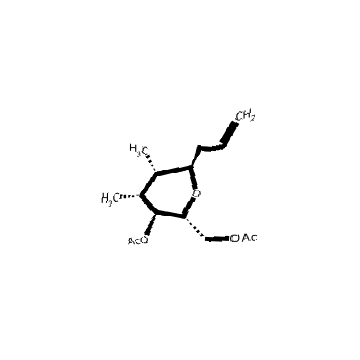 C=CC[C@H]1O[C@H](COC(C)=O)[C@@H](OC(C)=O)[C@H](C)[C@@H]1C